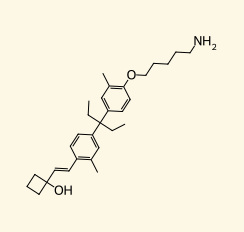 CCC(CC)(c1ccc(C=CC2(O)CCC2)c(C)c1)c1ccc(OCCCCCN)c(C)c1